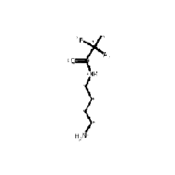 CC(F)(F)C(=O)NCCCCN